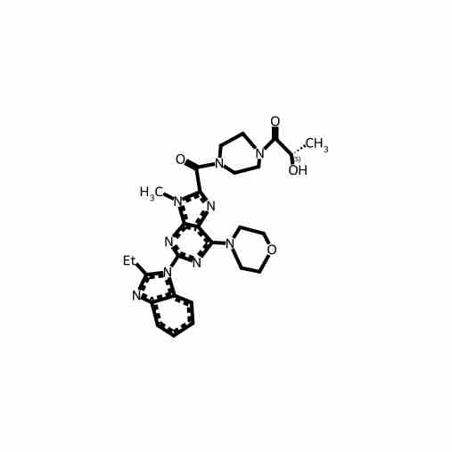 CCc1nc2ccccc2n1-c1nc(N2CCOCC2)c2nc(C(=O)N3CCN(C(=O)[C@H](C)O)CC3)n(C)c2n1